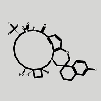 O=C1NS(=O)(=O)[C@@H](C(F)(F)F)CCCC[C@H](O)[C@@H]2CC[C@H]2CN2C[C@@]3(CCCc4cc(Cl)ccc43)COc3ccc1cc32